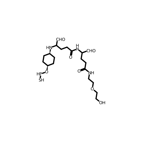 O=CC(CCC(=O)NCCOCCO)NC(=O)CCC(C=O)N[C@H]1CC[C@@H](OPS)CC1